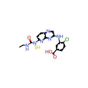 CCNC(=O)N(S)c1ccc2ncc(Nc3cc(C(=O)O)ccc3Cl)nc2n1